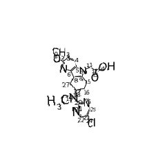 COc1ccc2c(n1)c1c(n2CC(=O)O)CCC(N(C)c2ncc(Cl)cn2)C1